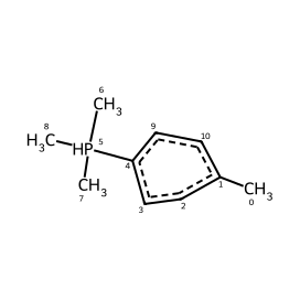 Cc1ccc([PH](C)(C)C)cc1